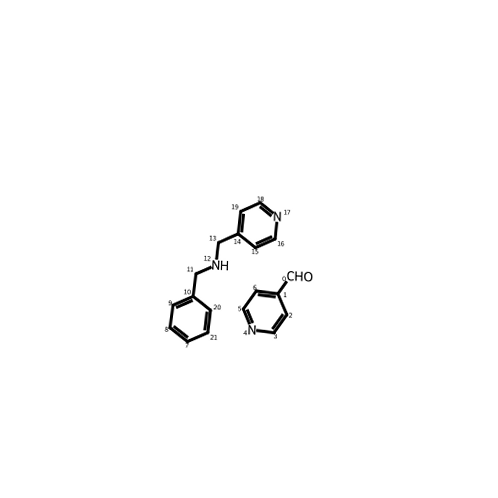 O=Cc1ccncc1.c1ccc(CNCc2ccncc2)cc1